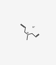 C=CC[SiH](C)CC=C.[H+]